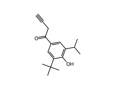 C#CCC(=O)c1cc(C(C)C)c(O)c(C(C)(C)C)c1